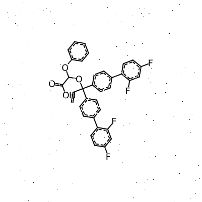 C=CC(OC(Oc1ccccc1)C(=O)O)(c1ccc(-c2ccc(F)cc2F)cc1)c1ccc(-c2ccc(F)cc2F)cc1